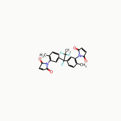 Cc1ccc(C(F)(c2ccc(C)c(N3C(=O)C=CC3=O)c2)C(F)(F)C(F)(F)F)cc1N1C(=O)C=CC1=O